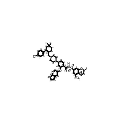 C[C@H]1CNc2c(cc(S(=O)(=O)NC(=O)c3ccc(N4CCN(CC5=C(c6ccc(Cl)cc6)CC(C)(C)CC5)CC4)cc3Oc3cnc4[nH]ccc4c3)cc2[N+](=O)[O-])O1